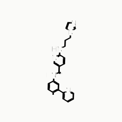 O=C(Nc1ccc(I)c(-c2ccccn2)c1)c1ccc(NCCCn2ccnc2)nc1